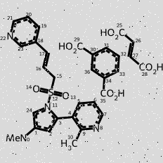 CNc1cc(-c2cccnc2C)n(S(=O)(=O)CC=Cc2cccnc2)c1.O=C(O)/C=C/C(=O)O.O=C(O)c1cccc(C(=O)O)c1